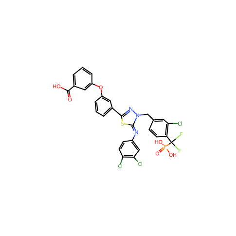 O=C(O)c1cccc(Oc2cccc(-c3nn(Cc4ccc(C(F)(F)P(=O)(O)O)c(Cl)c4)c(=Nc4ccc(Cl)c(Cl)c4)s3)c2)c1